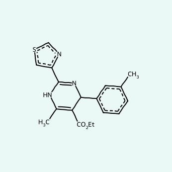 CCOC(=O)C1=C(C)NC(c2cscn2)=NC1c1cccc(C)c1